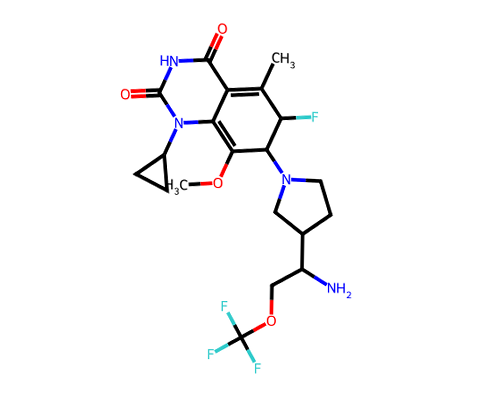 COC1=c2c(c(=O)[nH]c(=O)n2C2CC2)=C(C)C(F)C1N1CCC(C(N)COC(F)(F)F)C1